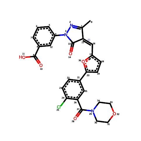 CC1=NN(c2cccc(C(=O)O)c2)C(=O)/C1=C\c1ccc(-c2ccc(Cl)c(C(=O)N3CCOCC3)c2)o1